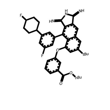 CCCCOC(=O)c1cccc(Oc2cc(C(C)(C)C)cc3cc4c(c(-c5cc(F)cc(C6CCC(F)CC6)c5)c23)C(=N)NC4=N)c1